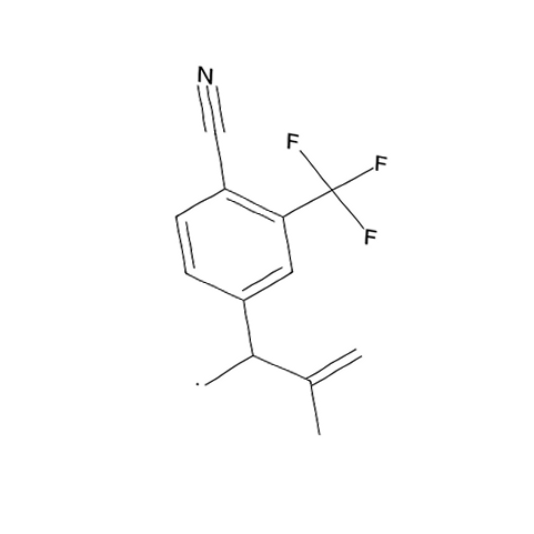 [CH2]C(C(=C)C)c1ccc(C#N)c(C(F)(F)F)c1